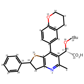 Cc1nc2c(c(-c3ccc4c(c3)CCCO4)c1[C@H](OC(C)(C)C)C(=O)O)SC(c1ccccc1)C2